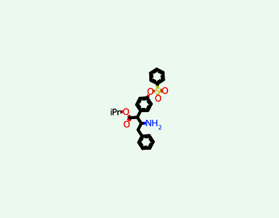 CC(C)OC(=O)C(c1ccc(OS(=O)(=O)c2ccccc2)cc1)C(N)Cc1ccccc1